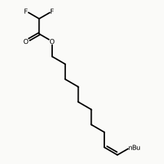 CCCC/C=C\CCCCCCCCOC(=O)C(F)F